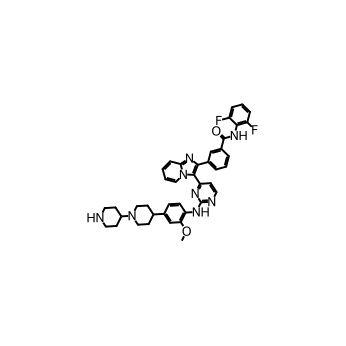 COc1cc(C2CCN(C3CCNCC3)CC2)ccc1Nc1nccc(-c2c(-c3cccc(C(=O)Nc4c(F)cccc4F)c3)nc3ccccn23)n1